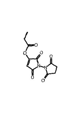 CCC(=O)OC1=CC(=O)N(N2C(=O)CCC2=O)C1=O